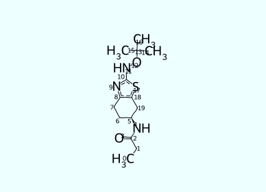 CCC(=O)N[C@H]1CCc2nc(NOC(C)(C)C)sc2C1